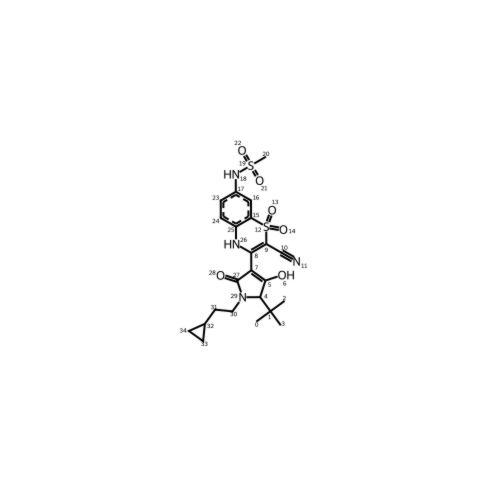 CC(C)(C)C1C(O)=C(C2=C(C#N)S(=O)(=O)c3cc(NS(C)(=O)=O)ccc3N2)C(=O)N1CCC1CC1